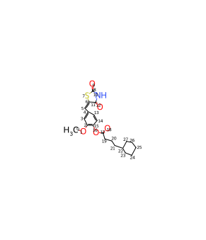 COc1cc(C=C2SC(=O)NC2=O)ccc1OC(=O)CCCC1CCCCC1